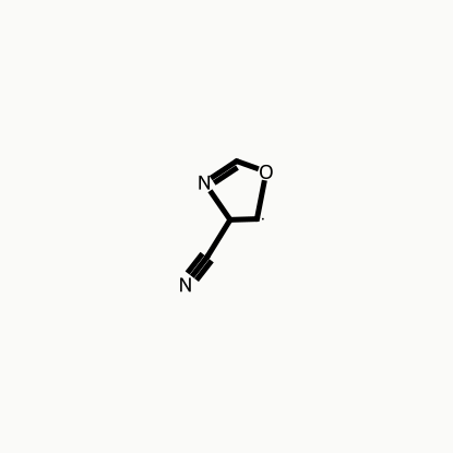 N#CC1[CH]OC=N1